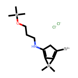 C[Si](C)(C)OCCCNC1=C2C(=[C]([Ti+2])C1)[Si]2(C)C.[Cl-].[Cl-]